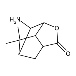 CC1(C)C2CC3C(=O)OC(C2N)C31